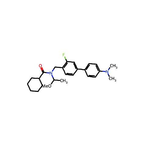 COC(C)N(Cc1ccc(-c2ccc(N(C)C)cc2)cc1F)C(=O)C1CCCCC1